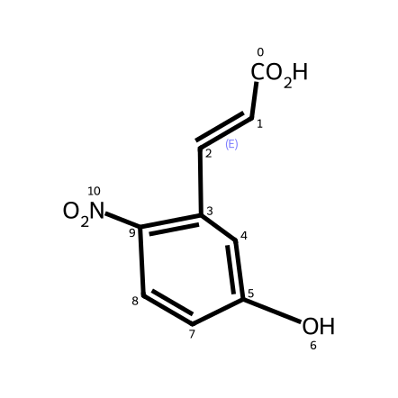 O=C(O)/C=C/c1cc(O)ccc1[N+](=O)[O-]